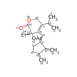 C=C(C)C1=C(/C=C2\CCC(=C)C2=C)[C@](CC)(OC(C)=O)C(=O)OC1